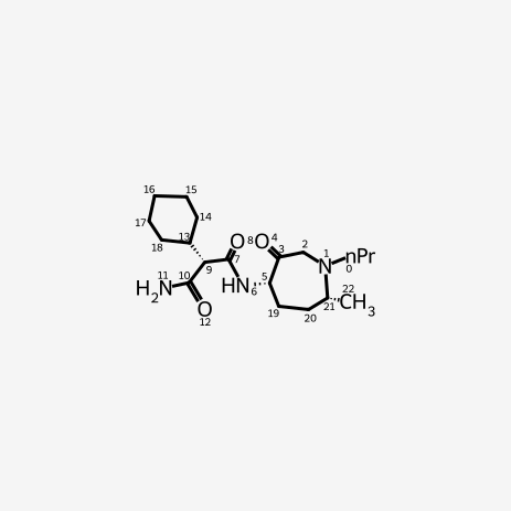 CCCN1CC(=O)[C@@H](NC(=O)[C@H](C(N)=O)C2CCCCC2)CC[C@H]1C